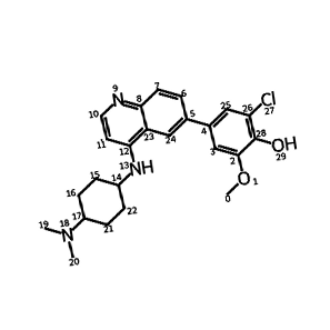 COc1cc(-c2ccc3nc[c]c(NC4CCC(N(C)C)CC4)c3c2)cc(Cl)c1O